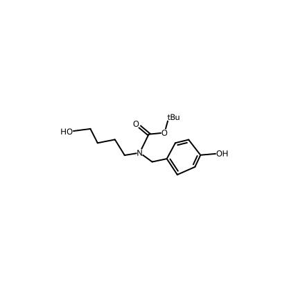 CC(C)(C)OC(=O)N(CCCCO)Cc1ccc(O)cc1